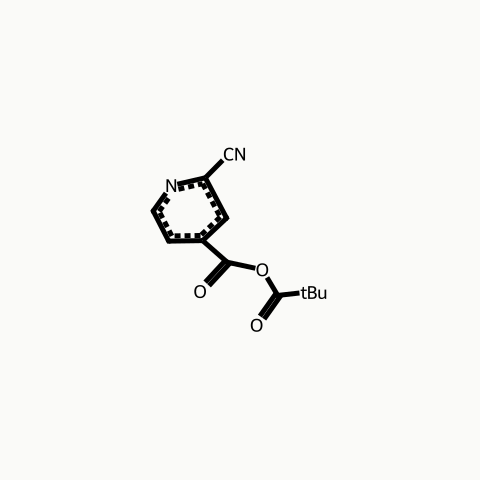 CC(C)(C)C(=O)OC(=O)c1ccnc(C#N)c1